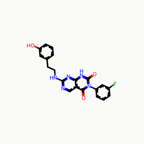 O=c1[nH]c2nc(NCCc3cccc(O)c3)ncc2c(=O)n1-c1cccc(F)c1